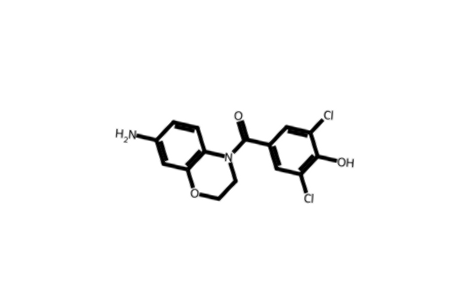 Nc1ccc2c(c1)OCCN2C(=O)c1cc(Cl)c(O)c(Cl)c1